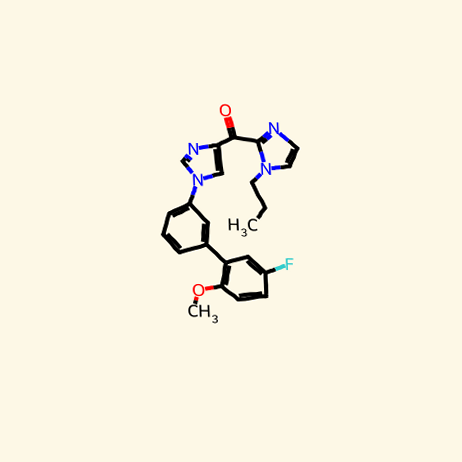 CCCn1ccnc1C(=O)c1cn(-c2cccc(-c3cc(F)ccc3OC)c2)cn1